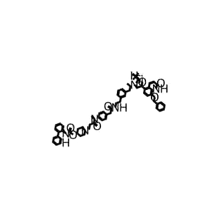 CC(Cc1cccc(CCNC(=O)Cc2ccc(N(C)C(=O)CCN3CCC(OC(=O)Nc4ccccc4-c4ccccc4)CC3)cc2)c1)NCC(O[Si](C)(C)C(C)(C)C)c1ccc(OCc2ccccc2)c2[nH]c(=O)ccc12